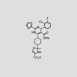 COC(=O)C1=C(C2CCC(C3(C)NC(C(=O)O)=CO3)CC2)NC(c2nccs2)=NC1c1cccc(F)c1Cl